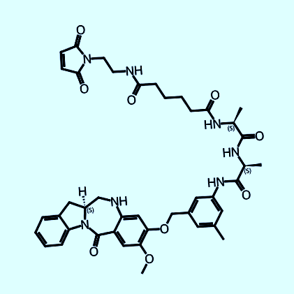 COc1cc2c(cc1OCc1cc(C)cc(NC(=O)[C@H](C)NC(=O)[C@H](C)NC(=O)CCCCC(=O)NCCN3C(=O)C=CC3=O)c1)NC[C@@H]1Cc3ccccc3N1C2=O